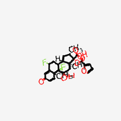 C[C@@H]1C[C@H]2C3C[C@H](F)C4=CC(=O)C=CC4(C)C3(F)C(O)C[C@]2(C)[C@@]1(OC(=O)c1ccco1)C(=O)O